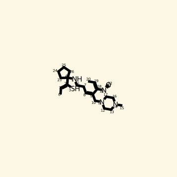 C/C=C(\S)C1(NCC/C=C(CN2CCN(C)CC2)\C(=C/C)N=O)CCCC1